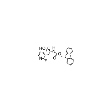 O=C(N[C@@H](Cc1cccnc1F)C(=O)O)OCC1c2ccccc2-c2ccccc21